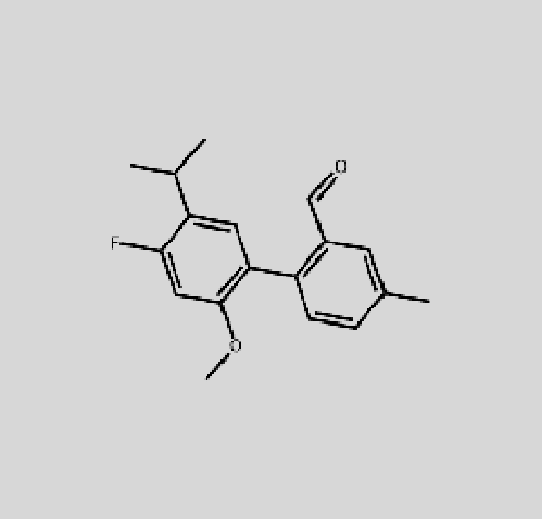 COc1cc(F)c(C(C)C)cc1-c1ccc(C)cc1C=O